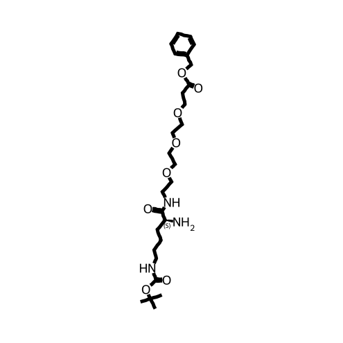 CC(C)(C)OC(=O)NCCCC[C@H](N)C(=O)NCCOCCOCCOCCC(=O)OCc1ccccc1